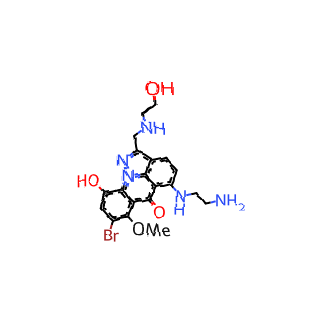 COc1c(Br)cc(O)c2c1c(=O)c1c(NCCN)ccc3c(CNCCO)nn2c31